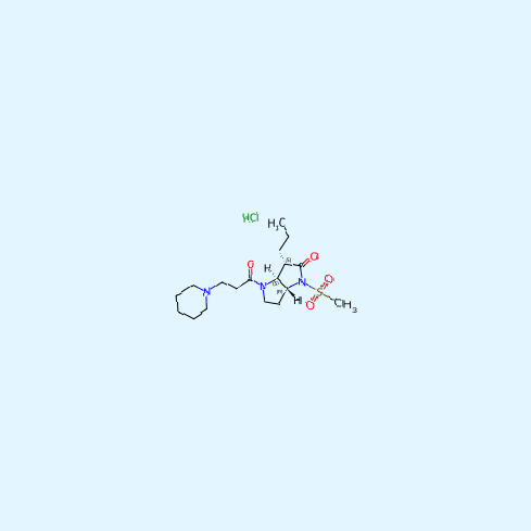 CCC[C@@H]1C(=O)N(S(C)(=O)=O)[C@@H]2CCN(C(=O)CCN3CCCCC3)[C@@H]12.Cl